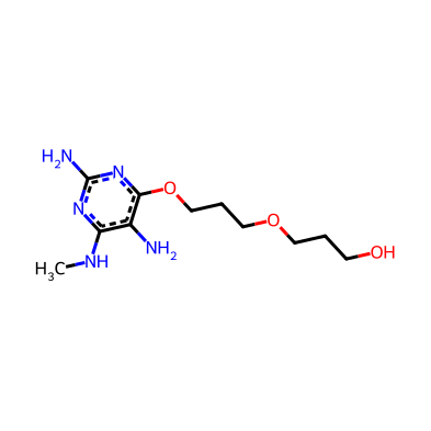 CNc1nc(N)nc(OCCCOCCCO)c1N